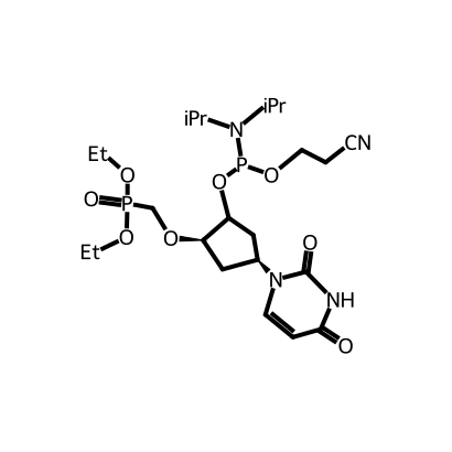 CCOP(=O)(CO[C@@H]1C[C@H](n2ccc(=O)[nH]c2=O)CC1OP(OCCC#N)N(C(C)C)C(C)C)OCC